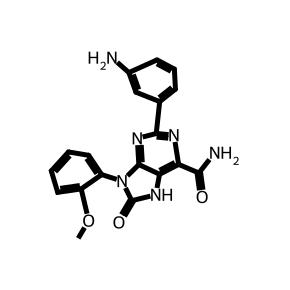 COc1ccccc1-n1c(=O)[nH]c2c(C(N)=O)nc(-c3cccc(N)c3)nc21